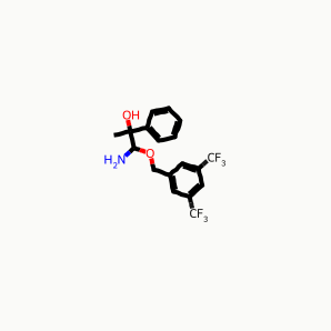 CC(O)(c1ccccc1)C(N)OCc1cc(C(F)(F)F)cc(C(F)(F)F)c1